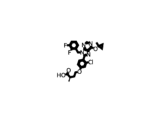 C[C@H](CCOc1ccc(-c2nc3c(OC4(C)CC4)ncnc3n2Cc2cccc(F)c2F)c(Cl)c1)C(=O)O